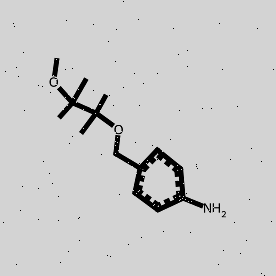 COC(C)(C)C(C)(C)OCc1ccc(N)cc1